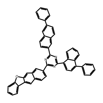 c1ccc(-c2ccc3cc(-c4nc(-c5ccc6cc7c(cc6c5)oc5ccccc57)nc(-c5ccc(-c6ccccc6)c6ccccc56)n4)ccc3c2)cc1